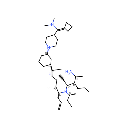 C#C[C@@H]([C@H](CCC)[C@H](C)N)N([C@@H](C)CC)[C@@H](CC=C)[C@H](C)C/C=C(\C)[C@H]1CCC[C@@H](N2CCC(C(=C3CCC3)N(C)C)CC2)C1